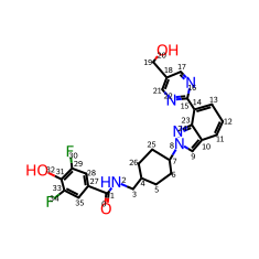 O=C(NCC1CCC(n2cc3cccc(-c4ncc(CO)cn4)c3n2)CC1)c1cc(F)c(O)c(F)c1